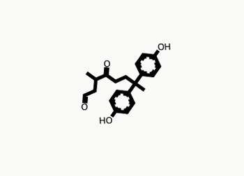 CC(CC=O)C(=O)CCC(C)(c1ccc(O)cc1)c1ccc(O)cc1